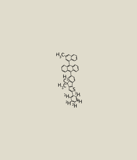 [2H]c1c([2H])c([2H])c(-c2cc3c(s2)-c2ccc(-c4c5ccccc5c(-c5cc(C)cc6ccccc56)c5ccccc45)cc2C3(C)C)c([2H])c1[2H]